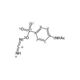 CC(=O)Nc1ccc(S(=O)(=O)ON=C=N)cc1